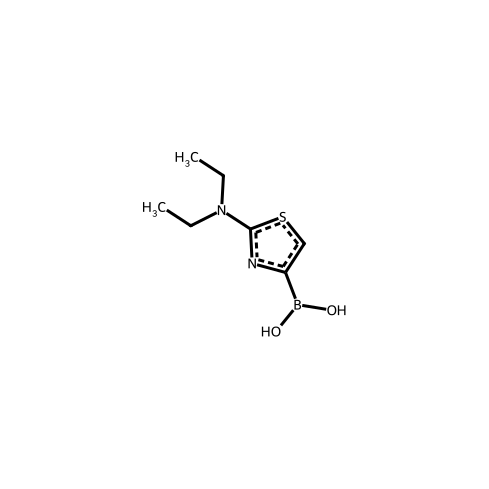 CCN(CC)c1nc(B(O)O)cs1